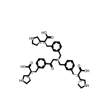 O=C(CN(Cc1cccc(C[C@H](C(=O)O)[C@H]2CCNC2)c1)Cc1cccc(C[C@H](C(=O)O)[C@H]2CCNC2)c1)c1cccc(C[C@H](C(=O)O)[C@H]2CCNC2)c1